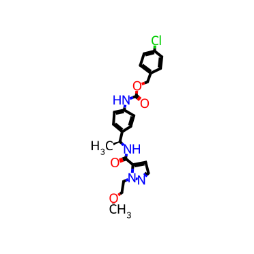 COCCn1nccc1C(=O)N[C@@H](C)c1ccc(NC(=O)OCc2ccc(Cl)cc2)cc1